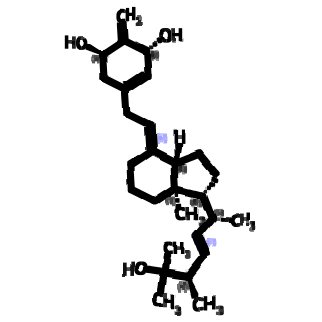 C=C1[C@H](O)C=C(C/C=C2\CCC[C@]3(C)[C@@H]([C@H](C)/C=C/[C@@H](C)C(C)(C)O)CC[C@@H]23)C[C@H]1O